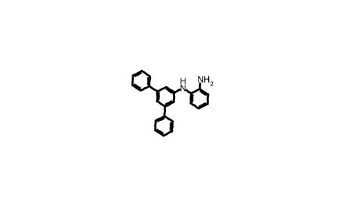 Nc1ccccc1Nc1cc(-c2ccccc2)cc(-c2ccccc2)c1